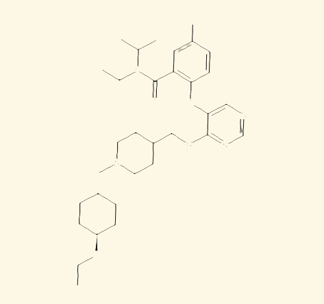 CCS[C@H]1CC[C@H](CN2CCC(CNc3ncncc3Oc3ccc(F)cc3C(=O)N(CC)C(C)C)CC2)CC1